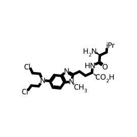 CC(C)C[C@H](N)C(=O)N[C@@H](CCc1nc2cc(N(CCCl)CCCl)ccc2n1C)C(=O)O